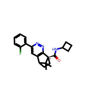 CC1(C)C2CC[C@@]1(C(=O)NC1CCC1)c1nnc(-c3ccccc3F)cc12